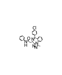 Cc1nnc2n1-c1ccccc1C(c1ccc(Cl)cc1)=NC2CC(=O)Nc1ccccc1